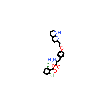 N[C@@H](Cc1ccc(OCCc2ccc3c(n2)NCCC3)cc1)C(=O)OC(=O)c1c(Cl)cccc1Cl